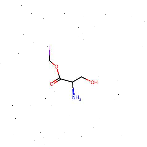 N[C@H](CO)C(=O)OCI